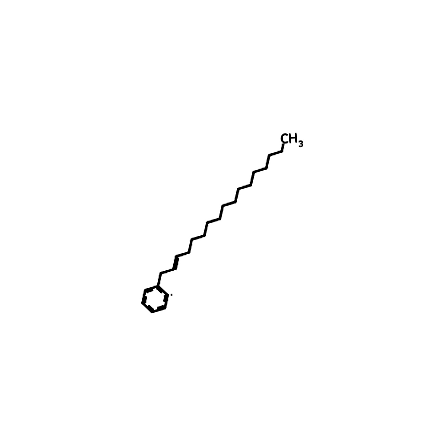 CCCCCCCCCCCCCCC=CCc1[c]cccc1